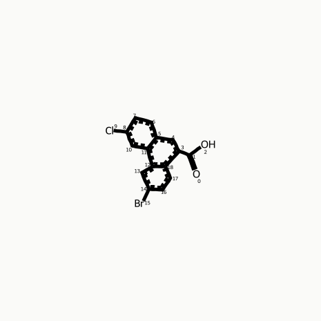 O=C(O)c1cc2ccc(Cl)cc2c2cc(Br)ccc12